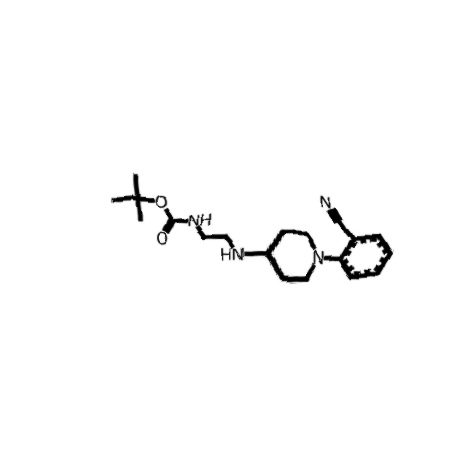 CC(C)(C)OC(=O)NCCNC1CCN(c2ccccc2C#N)CC1